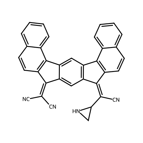 N#CC(C#N)=C1c2cc3c(cc2-c2c1ccc1ccccc21)-c1c(ccc2ccccc12)/C3=C(\C#N)C1CN1